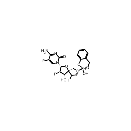 Nc1nc(=O)n([C@@H]2O[C@@](CO[PH]3(O)OCc4ccccc4O3)(C(F)F)[C@H](O)[C@H]2F)cc1F